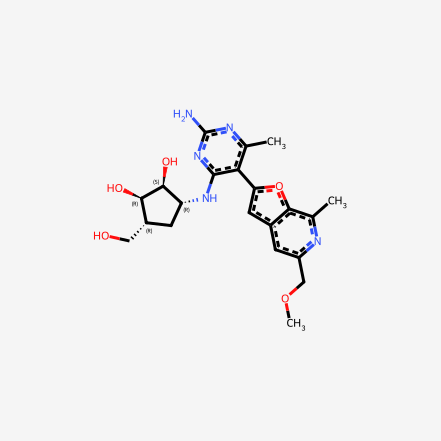 COCc1cc2cc(-c3c(C)nc(N)nc3N[C@@H]3C[C@H](CO)[C@@H](O)[C@H]3O)oc2c(C)n1